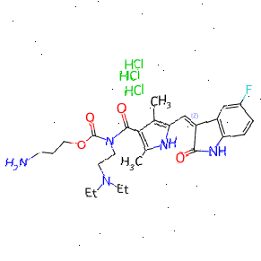 CCN(CC)CCN(C(=O)OCCCN)C(=O)c1c(C)[nH]c(/C=C2\C(=O)Nc3ccc(F)cc32)c1C.Cl.Cl.Cl